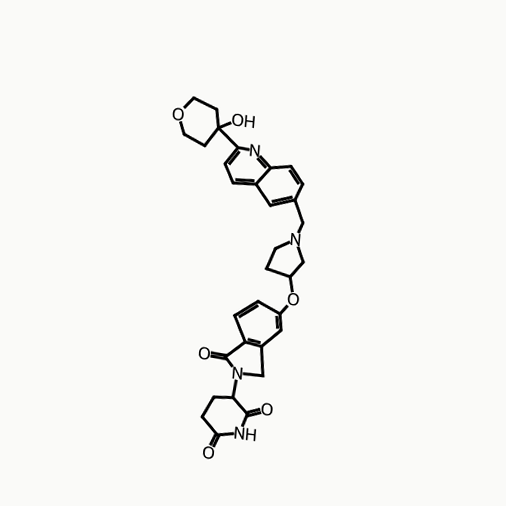 O=C1CCC(N2Cc3cc(OC4CCN(Cc5ccc6nc(C7(O)CCOCC7)ccc6c5)C4)ccc3C2=O)C(=O)N1